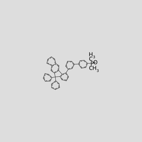 CP(C)(=O)c1ccc(-c2cccc(-c3cccc4c3-c3cc5ccccc5cc3C4(c3ccccc3)c3ccccc3)c2)cc1